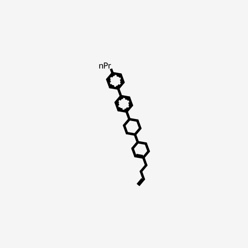 C=CCCC1=CCC(C2CCC(c3ccc(-c4ccc(CCC)cc4)cc3)CC2)CC1